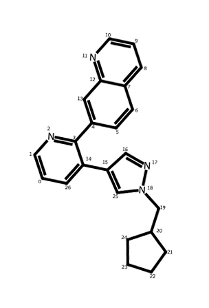 c1cnc(-c2ccc3cccnc3c2)c(-c2cnn(CC3CCCC3)c2)c1